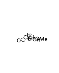 COC[C@]1(O)CC[C@H]2[C@@H]3CCC4=CC(=O)CCC4=C3C=C[C@@]21C